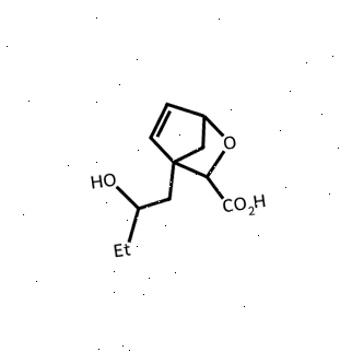 CCC(O)CC12C=CC(C1)OC2C(=O)O